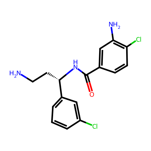 NCC[C@H](NC(=O)c1ccc(Cl)c(N)c1)c1cccc(Cl)c1